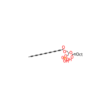 CC#CC#CC#CC#CC#CC#CC#CC(=O)OC[C@H](COP(=O)(O)O)OC(=O)CCCCCCCC